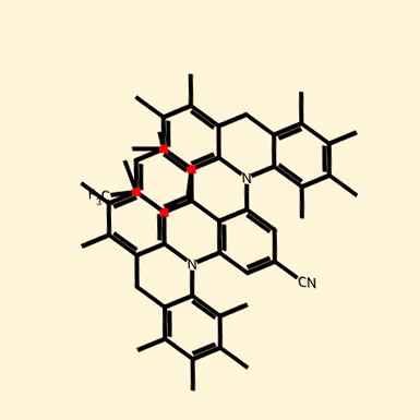 Cc1cc(-c2c(N3c4c(C)c(C)c(C)c(C)c4Cc4c(C)c(C)c(C)c(C)c43)cc(C#N)cc2N2c3c(C)c(C)c(C)c(C)c3Cc3c(C)c(C)c(C)c(C)c32)cc(C(F)(F)F)c1